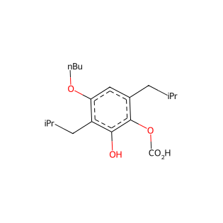 CCCCOc1cc(CC(C)C)c(OC(=O)O)c(O)c1CC(C)C